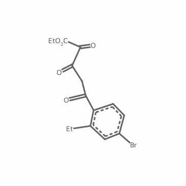 CCOC(=O)C(=O)C(=O)CC(=O)c1ccc(Br)cc1CC